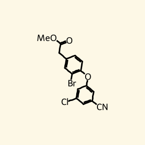 COC(=O)Cc1ccc(Oc2cc(Cl)cc(C#N)c2)c(Br)c1